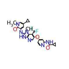 Cn1cc(C2CC2)cc(Nc2nc3ncc(Oc4ccnc(NC(=O)C5CC5)c4)c(C(F)F)c3n2C)c1=O